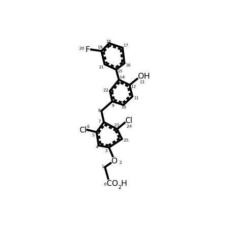 O=C(O)COc1cc(Cl)c(Cc2ccc(O)c(-c3cccc(F)c3)c2)c(Cl)c1